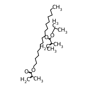 C=C(C)C(=O)OCC(C)C.C=C(C)C(=O)OCCCCCCCCCCCCCCCCCC.[CH3]